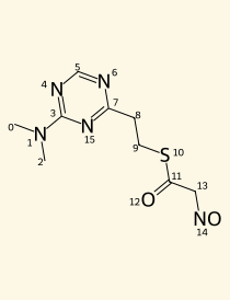 CN(C)c1ncnc(CCSC(=O)CN=O)n1